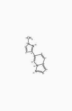 Cn1ccc(-c2ccc3ccnn3c2)n1